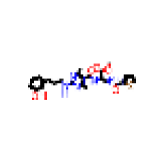 COC(=O)C(CNC(=O)c1cccs1)NC(=O)c1c(C)nc(NCCCc2cccc(O)c2)nc1C